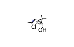 C/C(Cl)=C/[C@@H]1[C@@H](CO)C1(C)C